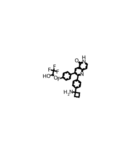 NC1(c2ccc(-c3nc4cc[nH]c(=O)c4cc3-c3ccc(F)cc3)cc2)CCC1.O=C(O)C(F)(F)F